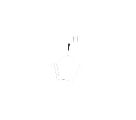 C[C@@H]1C=COC1